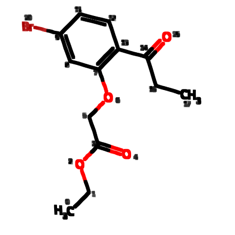 CCOC(=O)COc1cc(Br)ccc1C(=O)CC